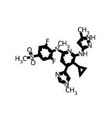 Cc1cc(Nc2nc(N(C)c3c(F)cc(S(C)(=O)=O)cc3F)cc(-c3cn(C)cn3)c2C2CC2)n[nH]1